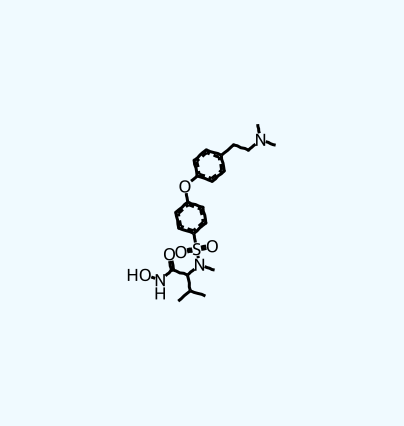 CC(C)C(C(=O)NO)N(C)S(=O)(=O)c1ccc(Oc2ccc(CCN(C)C)cc2)cc1